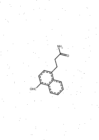 NC(=O)CCc1ccc(C=O)c2ccccc12